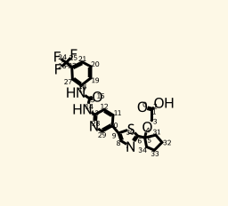 O=C(O)COC1(c2ncc(-c3ccc(NC(=O)Nc4cccc(C(F)(F)F)c4)nc3)s2)CCCC1